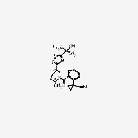 C[C@@H]1CC[C@@H](c2nsc(C(C)(C)O)n2)CN1C(=O)c1ccccc1C1(C#N)CC1